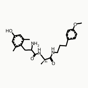 COc1ccc(CCCNC(=O)[C@@H](C)NC(=O)C(N)Cc2c(C)cc(O)cc2C)cc1